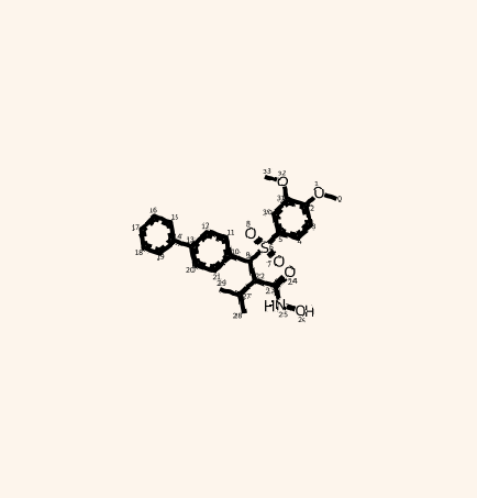 COc1ccc(S(=O)(=O)C(c2ccc(-c3ccccc3)cc2)C(C(=O)NO)C(C)C)cc1OC